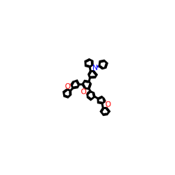 c1ccc(-n2c3ccccc3c3cc(-c4cc(-c5ccc6oc7ccccc7c6c5)c5oc6ccc(-c7ccc8oc9ccccc9c8c7)cc6c5c4)ccc32)cc1